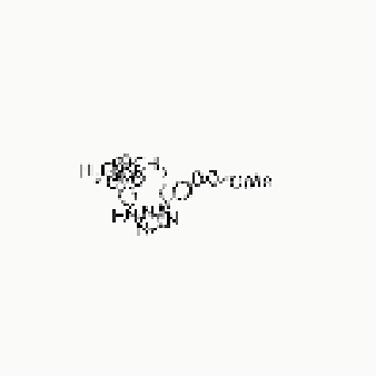 COCCOCOc1ccc2c(c1)CCC2n1ncc2cnc(Nc3ccc(N(S(C)(=O)=O)S(C)(=O)=O)cc3)nc21